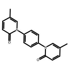 Cc1ccc(=O)n(-c2ccc(-n3cc(C)ccc3=O)cc2)c1